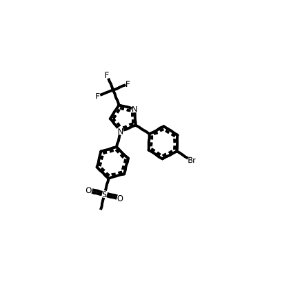 CS(=O)(=O)c1ccc(-n2cc(C(F)(F)F)nc2-c2ccc(Br)cc2)cc1